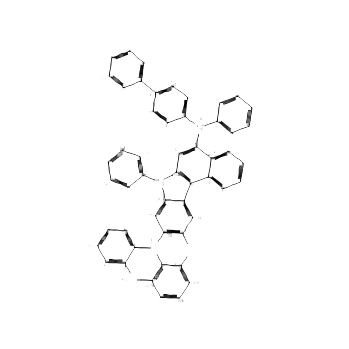 c1ccc(-c2ccc(N(c3ccccc3)c3cc4c(c5ccccc35)c3cc5c(cc3n4-c3ccccc3)B3c4ccccc4Oc4cccc(c43)O5)cc2)cc1